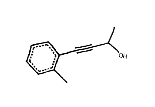 Cc1ccccc1C#CC(C)O